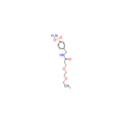 CCOCCOCCC(=O)NCc1ccc(S(N)(=O)=O)cc1